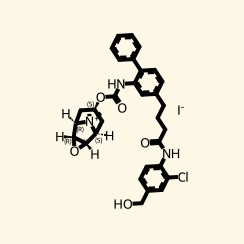 C[N+]1(C)[C@@H]2C[C@@H](OC(=O)Nc3cc(CCCC(=O)Nc4ccc(CO)cc4Cl)ccc3-c3ccccc3)C[C@H]1[C@@H]1O[C@@H]12.[I-]